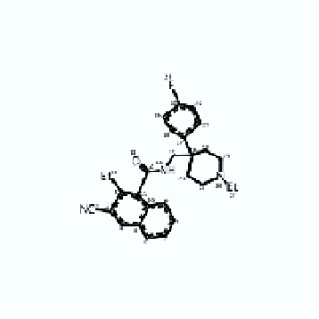 CCc1c(C#N)cc2ccccc2c1C(=O)NCC1(c2ccc(F)cc2)CCN(CC)CC1